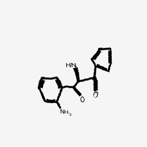 N=C(C(=O)c1ccccc1)C(=O)c1ccccc1N